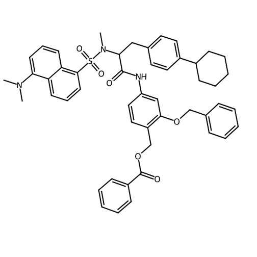 CN(C)c1cccc2c(S(=O)(=O)N(C)C(Cc3ccc(C4CCCCC4)cc3)C(=O)Nc3ccc(COC(=O)c4ccccc4)c(OCc4ccccc4)c3)cccc12